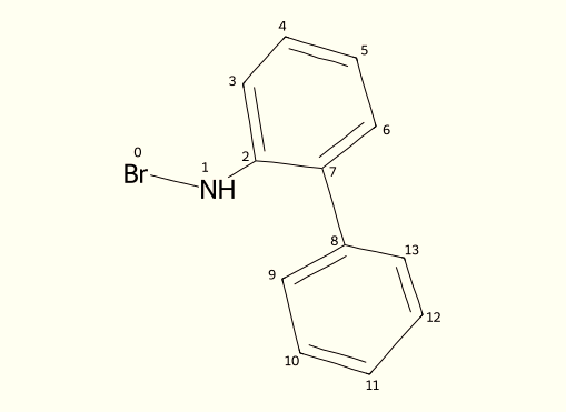 BrNc1ccccc1-c1ccccc1